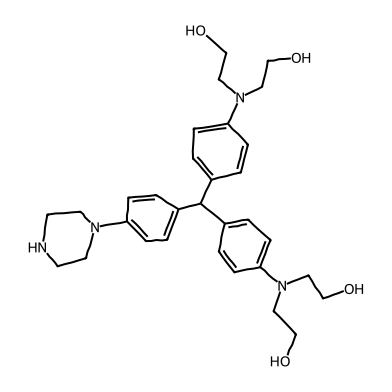 OCCN(CCO)c1ccc(C(c2ccc(N(CCO)CCO)cc2)c2ccc(N3CCNCC3)cc2)cc1